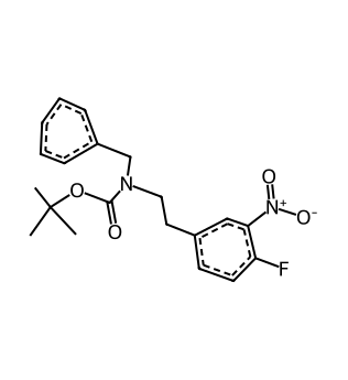 CC(C)(C)OC(=O)N(CCc1ccc(F)c([N+](=O)[O-])c1)Cc1ccccc1